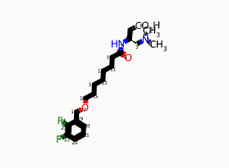 CN(C)C[C@@H](CC(=O)O)NC(=O)CCCCCCCOCc1cccc(F)c1F